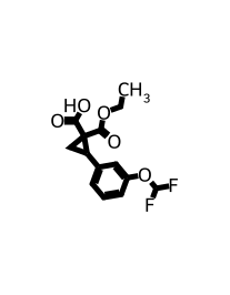 CCOC(=O)C1(C(=O)O)CC1c1cccc(OC(F)F)c1